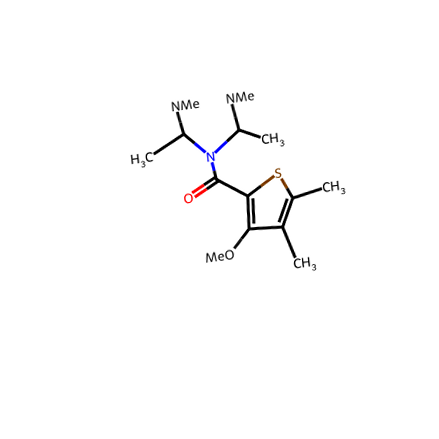 CNC(C)N(C(=O)c1sc(C)c(C)c1OC)C(C)NC